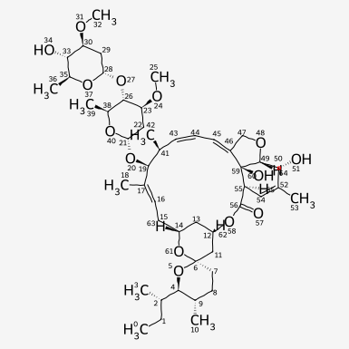 CC[C@H](C)[C@H]1O[C@]2(CC[C@@H]1C)C[C@@H]1C[C@@H](C/C=C(\C)[C@@H](O[C@H]3C[C@H](OC)[C@@H](O[C@H]4C[C@H](OC)[C@@H](O)[C@H](C)O4)[C@H](C)O3)[C@@H](C)C=CC=C3CO[C@@H]4[C@H](O)C(C)=C[C@@H](C(=O)O1)[C@]34O)O2